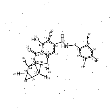 O=C(NCc1cc(F)c(F)cc1F)c1cn2c(c(O)c1=O)C(=O)N1[C@@H]3C[C@@H](C4C[C@H]43)[C@@H]1C2